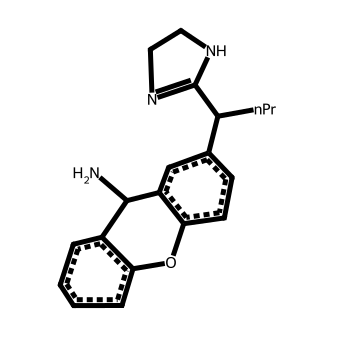 CCCC(C1=NCCN1)c1ccc2c(c1)C(N)c1ccccc1O2